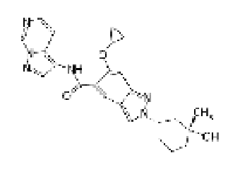 C[C@@]1(O)CCC[C@H](n2cc3cc(C(=O)Nc4cnn5cnccc45)c(OC4CC4)cc3n2)C1